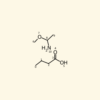 CCCC(=O)O.COC(C)N